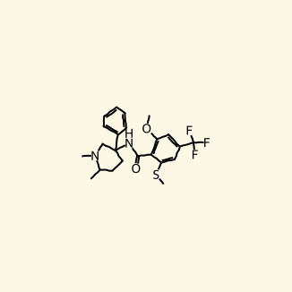 COc1cc(C(F)(F)F)cc(SC)c1C(=O)NC1(c2ccccc2)CCC(C)N(C)C1